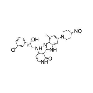 Cc1cc(N2CCC(N=O)CC2)cc2[nH]c(-c3c(NC[C@@H](O)c4cccc(Cl)c4)cc[nH]c3=O)nc12